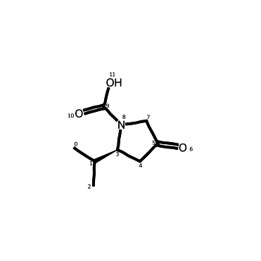 CC(C)[C@@H]1CC(=O)CN1C(=O)O